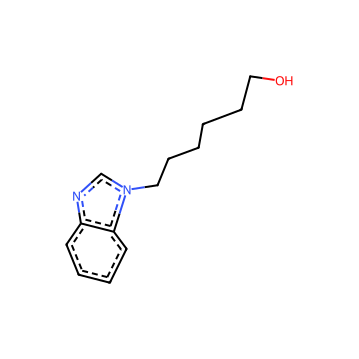 OCCCCCCn1cnc2ccccc21